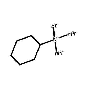 CCC[N+](CC)(CCC)C1CCCCC1